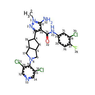 Cn1nc(C2CC3CN(c4c(Cl)cncc4Cl)CC3C2)c(C(=O)Nc2ccc(F)c(Cl)c2)c1N